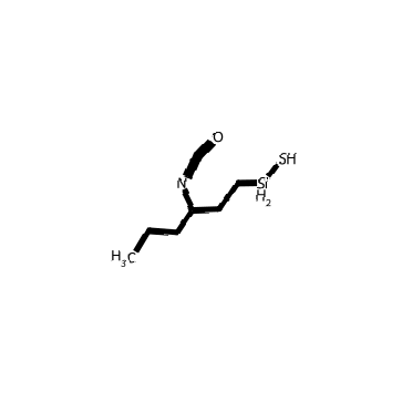 CCCC(CC[SiH2]S)N=C=O